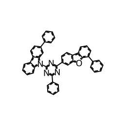 c1ccc(-c2ccc3c4ccccc4n(-c4nc(-c5ccccc5)nc(-c5ccc6c(c5)oc5c(-c7ccccc7)cccc56)n4)c3c2)cc1